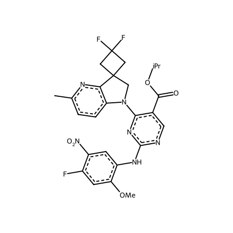 COc1cc(F)c([N+](=O)[O-])cc1Nc1ncc(C(=O)OC(C)C)c(N2CC3(CC(F)(F)C3)c3nc(C)ccc32)n1